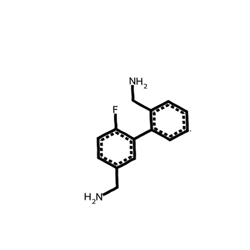 NCc1ccc(F)c(-c2c[c]ccc2CN)c1